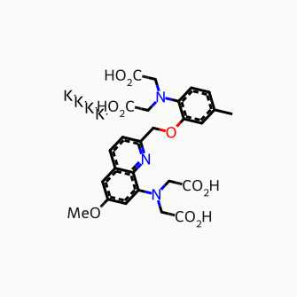 COc1cc(N(CC(=O)O)CC(=O)O)c2nc(COc3cc(C)ccc3N(CC(=O)O)CC(=O)O)ccc2c1.[K].[K].[K].[K]